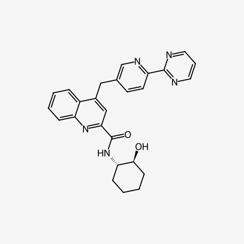 O=C(N[C@H]1CCCC[C@@H]1O)c1cc(Cc2ccc(-c3ncccn3)nc2)c2ccccc2n1